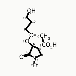 CC(=O)O.CCN1CCC(OOCCCO)C1=O